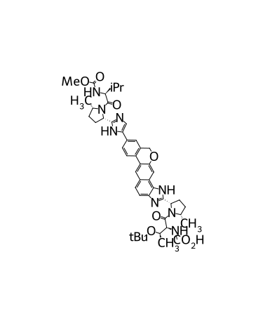 COC(=O)N[C@H](C(=O)N1[C@@H](C)CC[C@H]1c1ncc(-c2ccc3c(c2)COc2cc4c(ccc5nc([C@@H]6CC[C@H](C)N6C(=O)[C@@H](NC(=O)O)[C@@H](C)OC(C)(C)C)[nH]c54)cc2-3)[nH]1)C(C)C